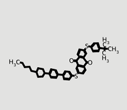 CCCCCC1CCC(c2ccc(-c3ccc(Sc4ccc5c(c4)C(=O)c4ccc(Sc6ccc(C(C)(C)C)cc6)cc4C5=O)cc3)cc2)CC1